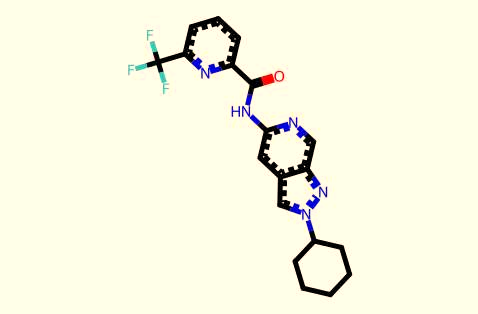 O=C(Nc1cc2cn(C3CCCCC3)nc2cn1)c1cccc(C(F)(F)F)n1